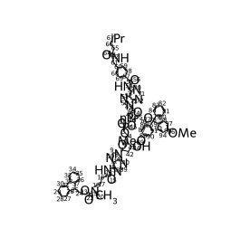 CCCOP(OC[C@H]1O[C@@H](n2cnc3c(NC(=O)CCCN(C)C(=O)OCC4c5ccccc5-c5ccccc54)ncnc32)CC1O)OC1C[C@H](n2cnc3c(NC(=O)c4ccc(CNC(=O)CCC(C)C)cc4)ncnc32)O[C@@H]1COC(c1ccccc1)(c1ccc(OC)cc1)c1ccc(OC)cc1